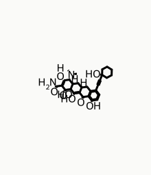 CN(C)[C@H]1C(O)=C(C(N)=O)C(=O)[C@]2(O)C(O)=C3C(=O)c4c(O)ccc(C#CC5(O)CCCCC5)c4C[C@@H]3C[C@H]12